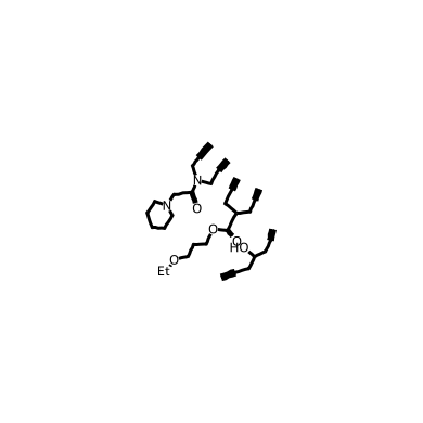 C#CCC(CC#C)C(=O)OCCCOCC.C#CCC(O)CC#C.C#CCN(CC#C)C(=O)CN1CCCCC1